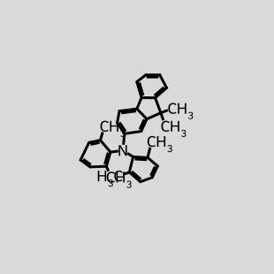 Cc1cccc(C)c1N(c1ccc2c(c1)C(C)(C)c1ccccc1-2)c1c(C)cccc1C